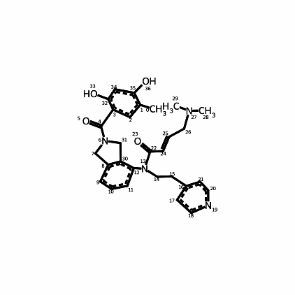 Cc1cc(C(=O)N2Cc3cccc(N(CCc4ccncc4)C(=O)/C=C/CN(C)C)c3C2)c(O)cc1O